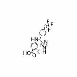 O=C(O)c1ccc(NC(c2ccc(OC(F)(F)F)cc2)c2nc[nH]n2)cc1Cl